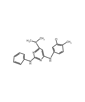 Cc1ccc(Nc2cc(N(C)C)nc(Nc3ccccc3)n2)cc1Cl